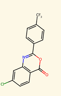 O=c1oc(-c2ccc(C(F)(F)F)cc2)nc2cc(Cl)ccc12